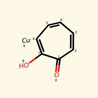 O=c1cccccc1O.[Cu]